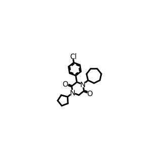 O=C1C(c2ccc(Cl)cc2)N(C2CCCCCC2)C(=O)CN1C1CCCC1